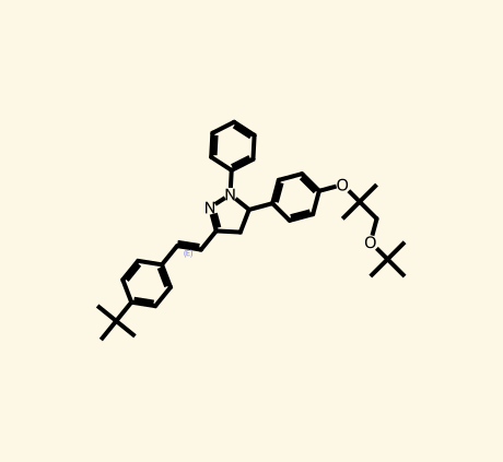 CC(C)(C)OCC(C)(C)Oc1ccc(C2CC(/C=C/c3ccc(C(C)(C)C)cc3)=NN2c2ccccc2)cc1